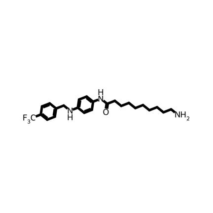 NCCCCCCCCCC(=O)Nc1ccc(NCc2ccc(C(F)(F)F)cc2)cc1